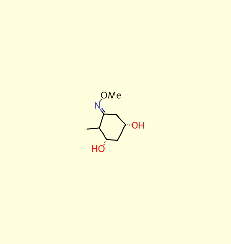 CO/N=C1\C[C@H](O)C[C@H](O)C1C